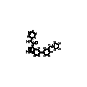 O=C(Nc1cccnc1)c1n[nH]c2ccc(-c3cccc(CN4CCCC4)c3)cc12